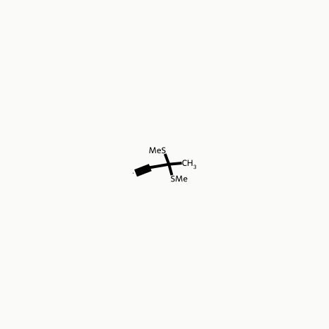 [C]#CC(C)(SC)SC